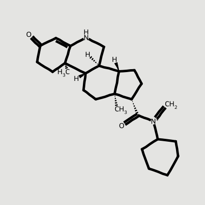 C=[N+](C(=O)[C@H]1CC[C@H]2[C@@H]3CNC4=CC(=O)CC[C@]4(C)[C@H]3CC[C@]12C)C1CCCCC1